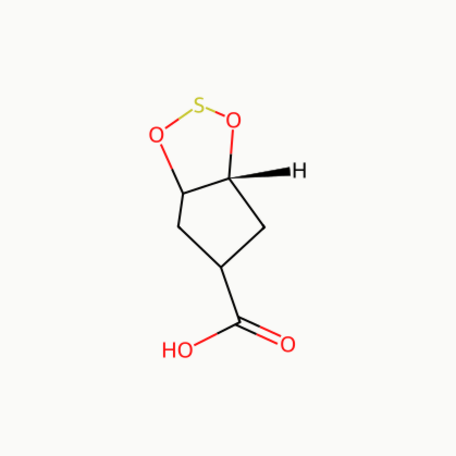 O=C(O)C1CC2OSO[C@@H]2C1